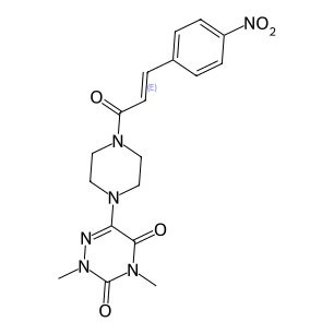 Cn1nc(N2CCN(C(=O)/C=C/c3ccc([N+](=O)[O-])cc3)CC2)c(=O)n(C)c1=O